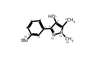 Cc1c(O)c(-c2cccc(C(C)(C)C)c2)nn1C